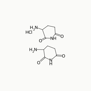 Cl.NC1CCC(=O)NC1=O.NC1CCC(=O)NC1=O